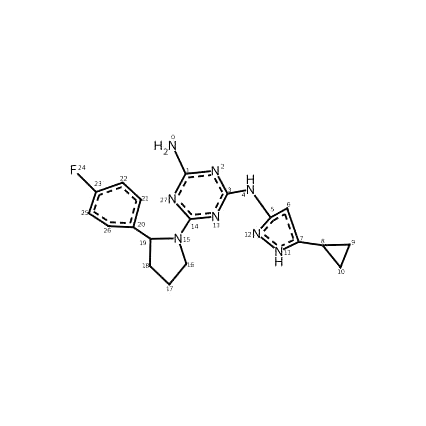 Nc1nc(Nc2cc(C3CC3)[nH]n2)nc(N2CCCC2c2ccc(F)cc2)n1